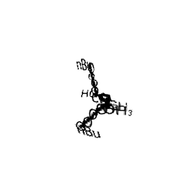 CCCCOCCOCCOCCOCC(C)(O)c1cccc(C(C)(O)COCCOCCOCCOCCCC)c1